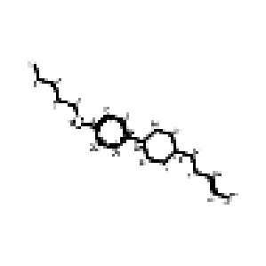 CCCCCOc1ccc(C2CCC(CCC=CF)CC2)cc1